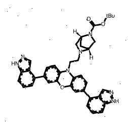 CC(C)(C)OC(=O)N1C[C@H]2C[C@@H]1CN2CCN1c2ccc(-c3cccc4[nH]ncc34)cc2Oc2cc(-c3cccc4[nH]ncc34)ccc21